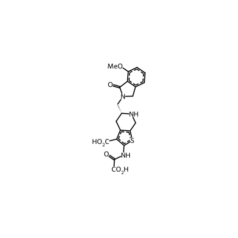 COc1cccc2c1C(=O)N(C[C@H]1Cc3c(sc(NC(=O)C(=O)O)c3C(=O)O)CN1)C2